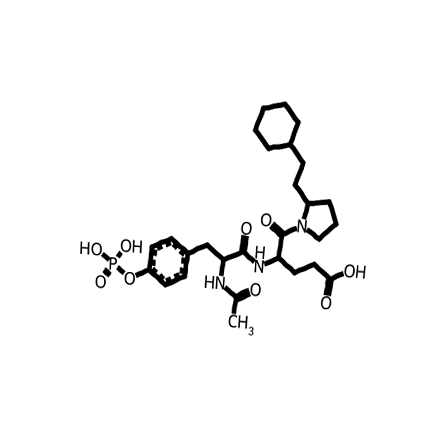 CC(=O)NC(Cc1ccc(OP(=O)(O)O)cc1)C(=O)NC(CCC(=O)O)C(=O)N1CCCC1CCC1CCCCC1